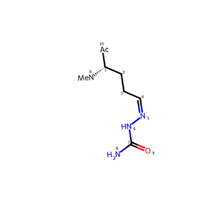 CN[C@@H](CC/C=N\NC(N)=O)C(C)=O